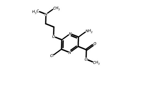 COC(=O)c1nc(Cl)c(OCCN(C)C)nc1N